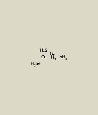 S.[Cu].[GaH3].[InH3].[SeH2]